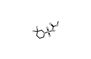 COC(=O)NS(=O)(=O)N1CCCC(F)(F)C1